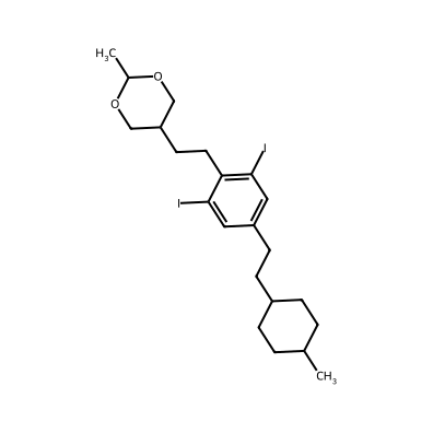 CC1CCC(CCc2cc(I)c(CCC3COC(C)OC3)c(I)c2)CC1